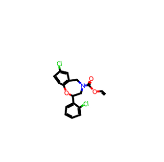 C=COC(=O)N1Cc2cc(Cl)ccc2OC(c2ccccc2Cl)C1